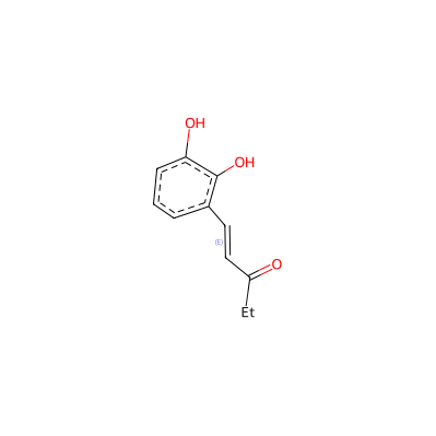 CCC(=O)/C=C/c1cccc(O)c1O